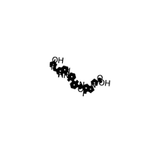 Cc1c(Nc2nccc3cc(CN4CC[C@@H](O)C4)cnc23)cccc1-c1cccc(-c2nc3cc4c(c(F)c3o2)CC[C@H]4N2CC[C@@H](C(=O)O)C2)c1C